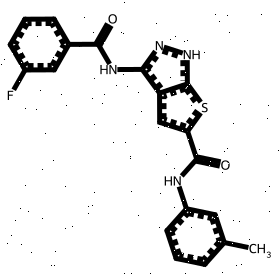 Cc1cccc(NC(=O)c2cc3c(NC(=O)c4cccc(F)c4)n[nH]c3s2)c1